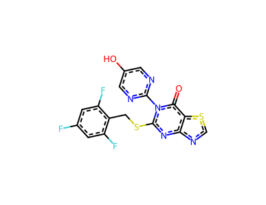 O=c1c2scnc2nc(SCc2c(F)cc(F)cc2F)n1-c1ncc(O)cn1